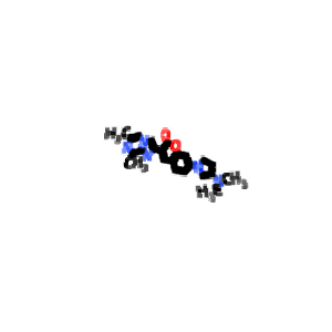 Cc1cn2cc(-c3cc4ccc(N5CC[C@H](N(C)C)C5)cc4oc3=O)nc2c(C)n1